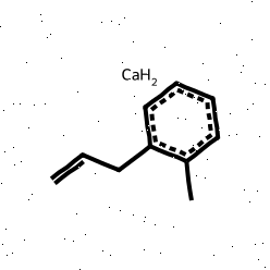 C=CCc1ccccc1C.[CaH2]